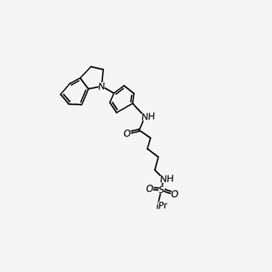 CC(C)S(=O)(=O)NCCCCC(=O)Nc1ccc(N2CCc3ccccc32)cc1